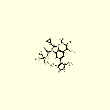 CON(C)C(C)c1cc(-c2c(C)noc2C)cc2c1nc(C1CC1)n2C(=O)OC(C)(C)C